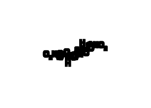 O=C(Nc1ccc2nc(NC(=O)c3ccc([N+](=O)[O-])o3)sc2c1)c1ccc([N+](=O)[O-])o1